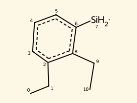 CCc1cccc([SiH2])c1CC